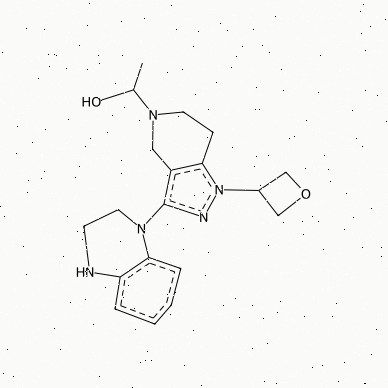 CC(O)N1CCc2c(c(N3CCNc4ccccc43)nn2C2COC2)C1